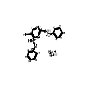 Fc1cnc(NOc2ccccc2)nc1NOc1ccccc1.[NaH].[NaH]